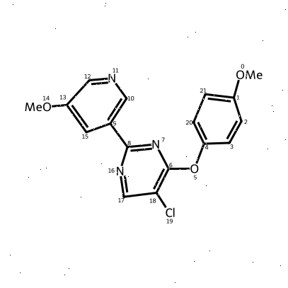 COc1ccc(Oc2nc(-c3cncc(OC)c3)ncc2Cl)cc1